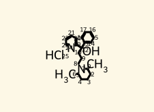 CC1CCCC(C)N1CCCC(O)(c1ccccc1)c1ccccn1.Cl